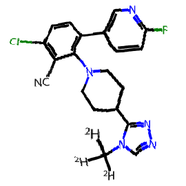 [2H]C([2H])([2H])n1cnnc1C1CCN(c2c(-c3ccc(F)nc3)ccc(Cl)c2C#N)CC1